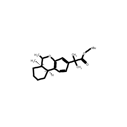 CCCCOC(=O)C(C)(C)c1ccc2c(c1)OC(C)[C@]1(C)CCCC[C@H]21